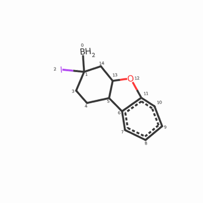 BC1(I)CCC2c3ccccc3OC2C1